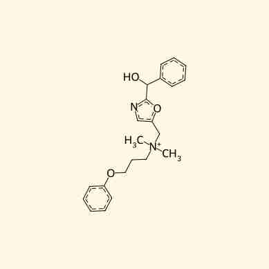 C[N+](C)(CCCOc1ccccc1)Cc1cnc(C(O)c2ccccc2)o1